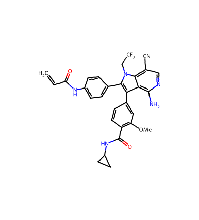 C=CC(=O)Nc1ccc(-c2c(-c3ccc(C(=O)NC4CC4)c(OC)c3)c3c(N)ncc(C#N)c3n2CC(F)(F)F)cc1